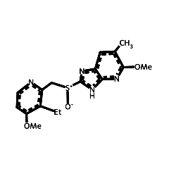 CCc1c(OC)ccnc1C[S+]([O-])c1nc2cc(C)c(OC)nc2[nH]1